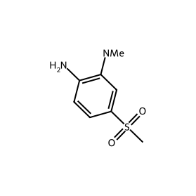 CNc1cc(S(C)(=O)=O)ccc1N